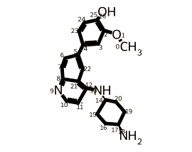 COc1cc(-c2ccc3nc[c]c(N[C@H]4CC[C@H](N)CC4)c3c2)ccc1O